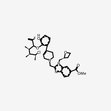 C=C(F)C(Oc1c(O)cccc1C1=CCN(Cc2nc3ccc(C(=O)OC)cc3n2C[C@@H]2CCO2)CC1)[C@H](C)[C@H](C)[C@H](C)Cl